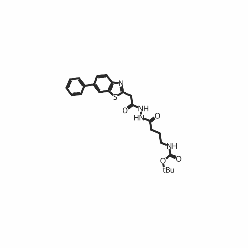 CC(C)(C)OC(=O)NCCCC(=O)NNC(=O)Cc1nc2ccc(-c3ccccc3)cc2s1